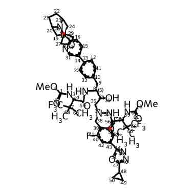 COC(=O)N[C@H](C(=O)N[C@@H](Cc1ccc(-c2ccc(N3CC4CCC(C3)N4C3COC3)nc2)cc1)[C@@H](O)CN(Cc1c(F)cc(-c2nnc(C3CC3)o2)cc1F)NC(=O)[C@@H](NC(=O)OC)C(C)(C)C(F)(F)F)C(C)(C)C(F)(F)F